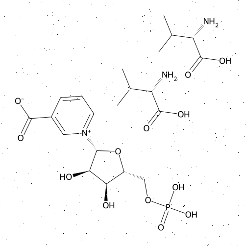 CC(C)[C@H](N)C(=O)O.CC(C)[C@H](N)C(=O)O.O=C([O-])c1ccc[n+]([C@@H]2O[C@H](COP(=O)(O)O)[C@@H](O)[C@H]2O)c1